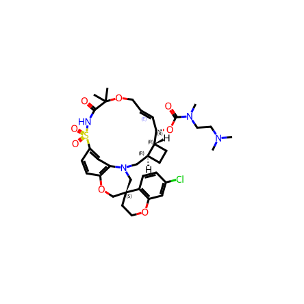 CN(C)CCN(C)C(=O)O[C@H]1/C=C/COC(C)(C)C(=O)NS(=O)(=O)c2ccc3c(c2)N(C[C@@H]2CC[C@H]21)C[C@@]1(CCOc2cc(Cl)ccc21)CO3